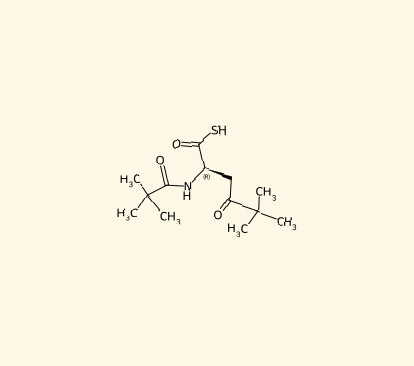 CC(C)(C)C(=O)C[C@@H](NC(=O)C(C)(C)C)C(=O)S